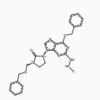 O=C1[C@H](COCc2ccccc2)CC[C@@H]1n1cnc2c(OCc3ccccc3)nc(NPI)nc21